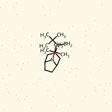 BN(C1CC2CCC(C1)N2C(C)(C)C)C(C)(C)C